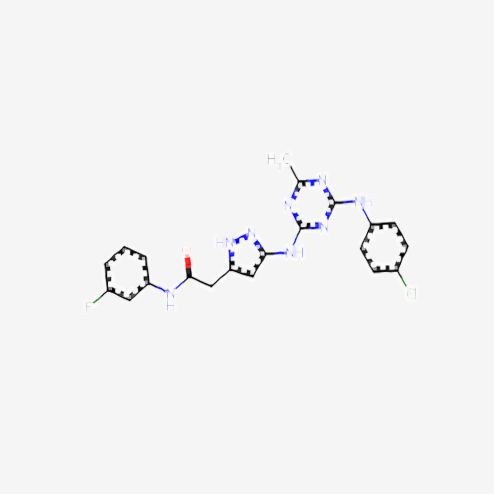 Cc1nc(Nc2ccc(Cl)cc2)nc(Nc2cc(CC(=O)Nc3cccc(F)c3)[nH]n2)n1